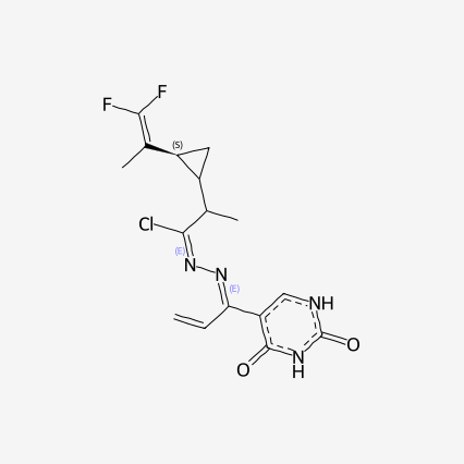 C=C/C(=N\N=C(\Cl)C(C)C1C[C@@H]1C(C)=C(F)F)c1c[nH]c(=O)[nH]c1=O